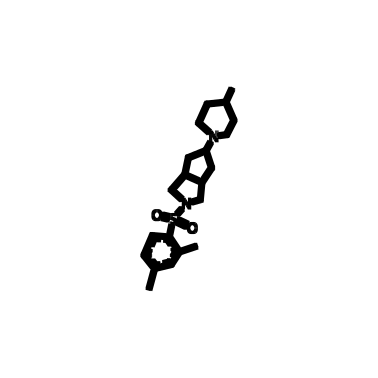 Cc1ccc(S(=O)(=O)N2CC3CC(N4CCC(C)CC4)CC3C2)c(C)c1